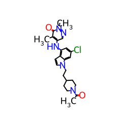 CC(=O)N1CCC(CCn2ccc3c(Nc4cnn(C)c(=O)c4C)cc(Cl)cc32)CC1